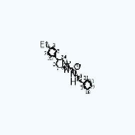 CCc1ccc(C2CCc3nc(C(=O)NCCc4ccccc4)cn3C2)cc1